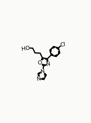 OCCCc1oc(-n2ccnc2)nc1-c1ccc(Cl)cc1